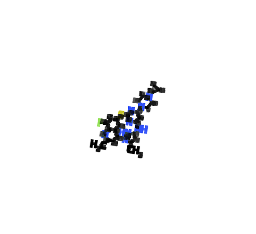 Cc1cc(Nc2cc(N3CCN(C4CC4)CC3)nc(Sc3cc(F)c4nc(C)ccc4c3)n2)[nH]n1